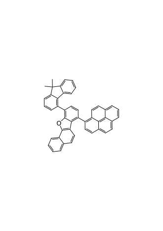 CC1(C)c2ccccc2-c2c(-c3ccc(-c4ccc5ccc6cccc7ccc4c5c67)c4c3oc3c5ccccc5ccc34)cccc21